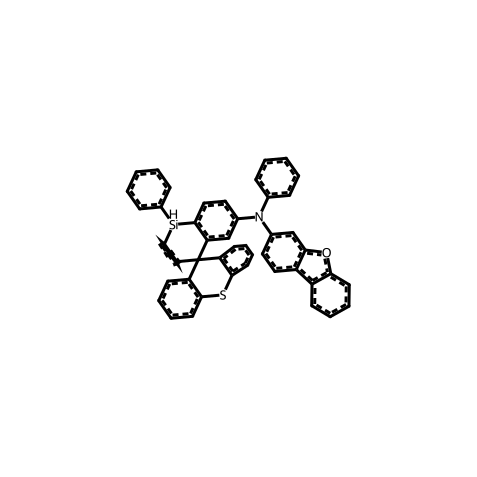 c1ccc(N(c2ccc3c(c2)C2(c4ccccc4Sc4ccccc42)c2ccccc2[SiH]3c2ccccc2)c2ccc3c(c2)oc2ccccc23)cc1